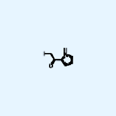 O=C(CI)c1ccc[nH]1